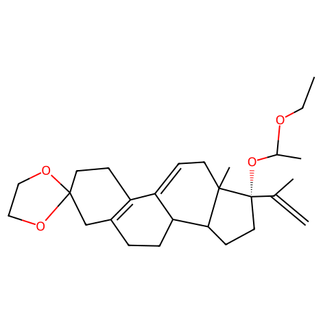 C=C(C)[C@@]1(OC(C)OCC)CCC2C3CCC4=C(CCC5(C4)OCCO5)C3=CCC21C